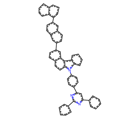 c1ccc(-c2cc(-c3ccc(-n4c5ccccc5c5c6cc(-c7ccc8cc(-c9cccc%10ccccc9%10)ccc8c7)ccc6ccc54)cc3)nc(-c3ccccc3)n2)cc1